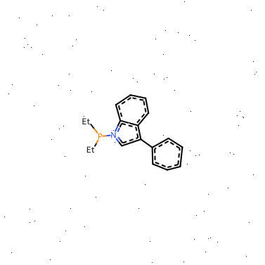 CCP(CC)n1cc(-c2ccccc2)c2ccccc21